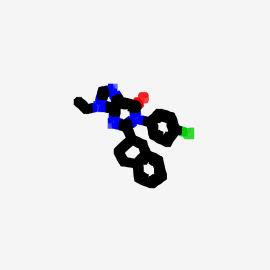 CCn1cnc2c(=O)n(-c3ccc(Cl)cc3)c(C3CCc4ccccc4C3)nc21